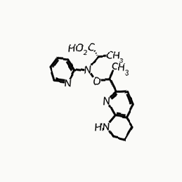 CC(ON(c1ccccn1)[C@@H](C)C(=O)O)c1ccc2c(n1)NCCC2